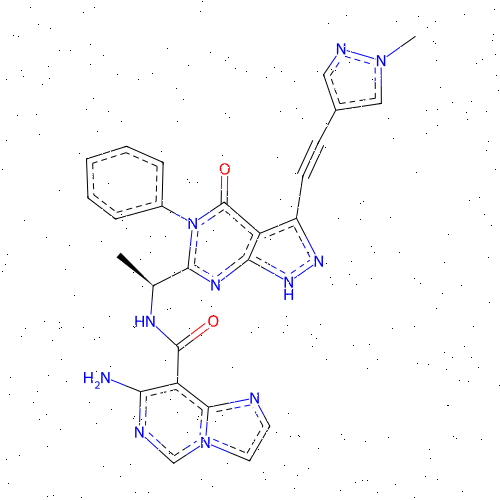 C[C@H](NC(=O)c1c(N)ncn2ccnc12)c1nc2[nH]nc(C#Cc3cnn(C)c3)c2c(=O)n1-c1ccccc1